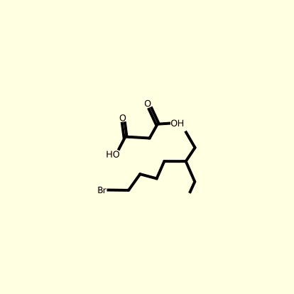 CCC(CC)CCCCBr.O=C(O)CC(=O)O